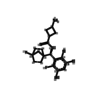 NC1CC(C(=O)N[C@@H](c2c(F)c(O)cc(Cl)c2Cl)C23CCC(F)(CC2)C3)C1